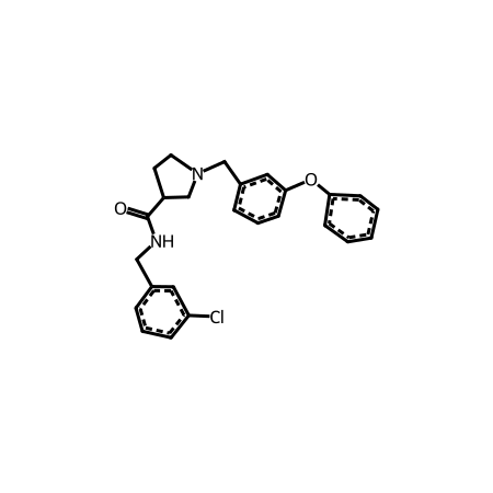 O=C(NCc1cccc(Cl)c1)C1CCN(Cc2cccc(Oc3ccccc3)c2)C1